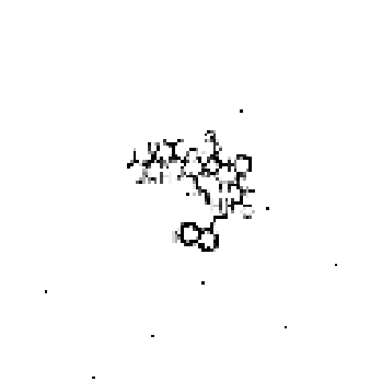 CC[C@H](C)C([C@H]1CC(N2CCC[C@H]2[C@H](OC)[C@@H](C)C(=O)NCCc2cccc3cnccc23)=C(N=O)O1)N(C)C(=O)[C@@H](NC(=O)[C@H](C(C)C)N(C)C)C(C)C